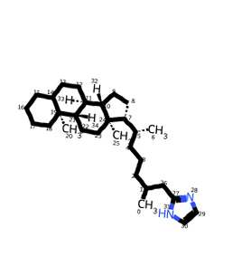 CC(CCC[C@@H](C)[C@H]1CC[C@H]2[C@@H]3CCC4CCCC[C@]4(C)[C@H]3CC[C@]12C)Cc1ncc[nH]1